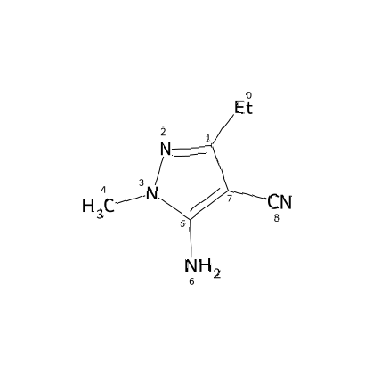 CCc1nn(C)c(N)c1C#N